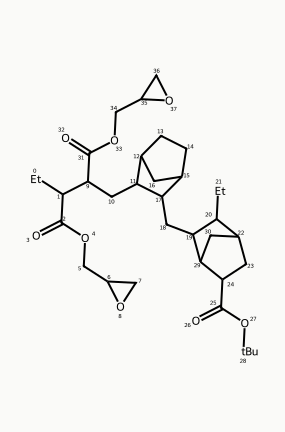 CCC(C(=O)OCC1CO1)C(CC1C2CCC(C2)C1CC1C(CC)C2CC(C(=O)OC(C)(C)C)C1C2)C(=O)OCC1CO1